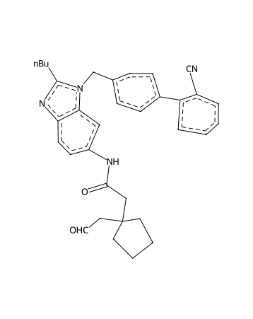 CCCCc1nc2ccc(NC(=O)CC3(CC=O)CCCC3)cc2n1Cc1ccc(-c2ccccc2C#N)cc1